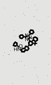 CC1(C)c2ccccc2-c2c(-c3nc(-c4ccccc4)nc(-c4ccccc4)n3)cc(-c3ccc4ccc5c(c4c3)OC(c3ccccc3)N5)cc21